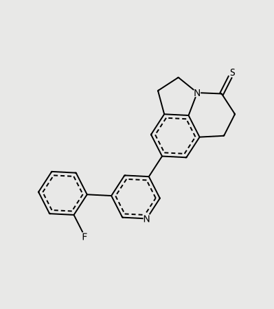 Fc1ccccc1-c1cncc(-c2cc3c4c(c2)CCN4C(=S)CC3)c1